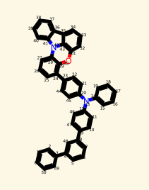 c1ccc(-c2cccc(-c3ccc(N(c4ccccc4)c4ccc(-c5cccc6c5Oc5cccc7c8ccccc8n-6c57)cc4)cc3)c2)cc1